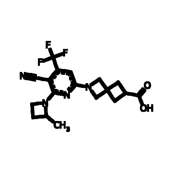 CC1CCN1c1nc(N2CC3(CC(C(=O)O)C3)C2)cc(C(F)(F)F)c1C#N